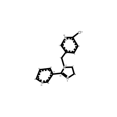 Clc1ccc(CN2CCN=C2c2cccnc2)cn1